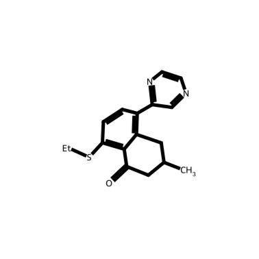 CCSc1ccc(-c2cnccn2)c2c1C(=O)CC(C)C2